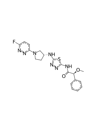 CO[C@H](C(=O)Nc1nnc(N[C@@H]2CCN(c3ccc(F)nn3)C2)s1)c1ccccc1